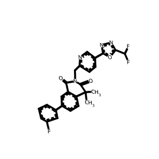 CC1(C)C(=O)N(Cc2ccc(-c3nnc(C(F)F)o3)cn2)C(=O)c2cc(-c3cccc(F)c3)ccc21